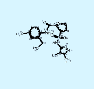 Cc1ccc(NC(=O)c2sccc2S(=O)(=O)Nc2onc(C)c2Cl)c(CO)c1